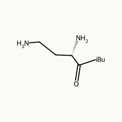 CCC(C)C(=O)[C@@H](N)CCN